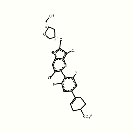 O=C(O)C1CC=C(c2cc(F)c(-c3nc4c(Cl)c(O[C@@H]5CO[C@H](CO)C5)[nH]c4cc3Cl)c(F)c2)CC1